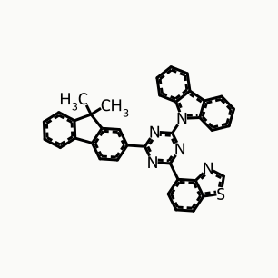 CC1(C)c2ccccc2-c2ccc(-c3nc(-c4cccc5scnc45)nc(-n4c5ccccc5c5ccccc54)n3)cc21